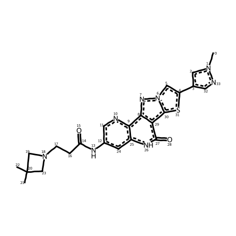 Cn1cc(-c2cn3nc4c5ncc(NC(=O)CCN6CC(C)(C)C6)cc5[nH]c(=O)c4c3s2)cn1